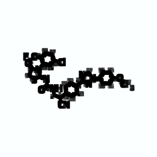 N#CC(CNC(=O)/N=C1\SCC(=O)N1c1cc(Cl)ccc1C(F)(F)F)c1ccc(-c2ncn(-c3ccc(OC(F)(F)F)cc3)n2)cc1